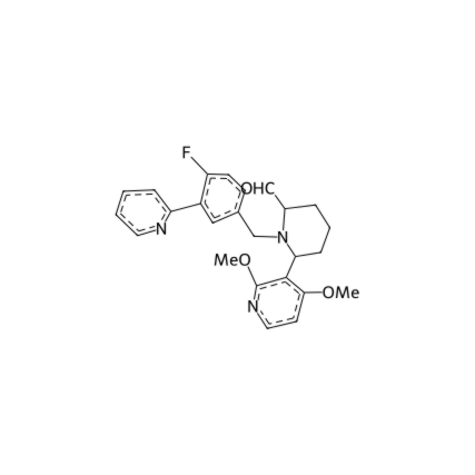 COc1ccnc(OC)c1C1CCCC(C=O)N1Cc1ccc(F)c(-c2ccccn2)c1